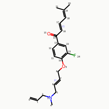 C=CCN(C)C/C=C/COc1ccc(C(=O)/C=C/C=C(C)C)cc1F